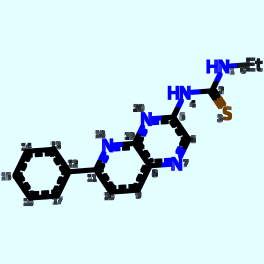 CCNC(=S)Nc1cnc2ccc(-c3ccccc3)nc2n1